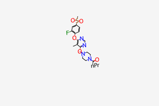 CCCC(=O)N1CCN(Oc2ncnc(Oc3ccc(S(C)(=O)=O)cc3F)c2C)CC1